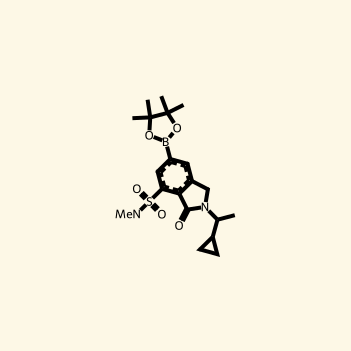 CNS(=O)(=O)c1cc(B2OC(C)(C)C(C)(C)O2)cc2c1C(=O)N(C(C)C1CC1)C2